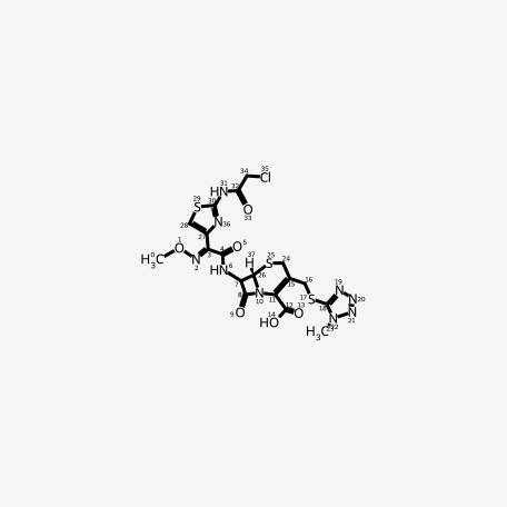 CON=C(C(=O)NC1C(=O)N2C(C(=O)O)=C(CSc3nnnn3C)CS[C@@H]12)c1csc(NC(=O)CCl)n1